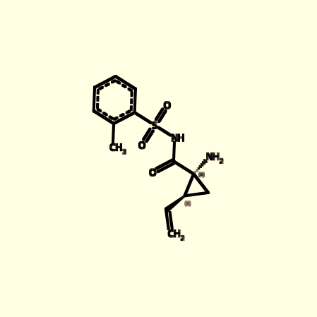 C=C[C@@H]1C[C@]1(N)C(=O)NS(=O)(=O)c1ccccc1C